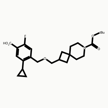 CC(C)(C)OC(=O)N1CCC2(CC1)CC(COCc1cc(F)c(C(=O)O)cc1C1CC1)C2